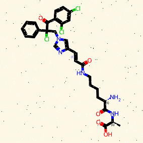 C[C@H](NC(=O)[C@@H](N)CCCCNC(=O)/C=C/c1cn(CC(Cl)(C(=O)c2ccc(Cl)cc2Cl)c2ccccc2)cn1)C(=O)O